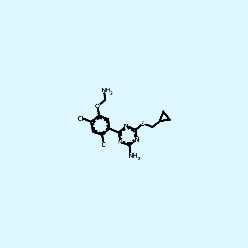 NCOc1cc(-c2nc(N)nc(SCC3CC3)n2)c(Cl)cc1Cl